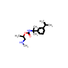 C=C(C)c1cccc(C(C)(C)NC(=O)OC(C)CNC)c1